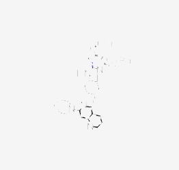 CC(C)(C)OC(=O)/N=C(\NC(=O)OC(C)(C)C)N[C@H]1CC[C@@H](Oc2nc(N3CCOCC3)cc3ncccc23)CC1